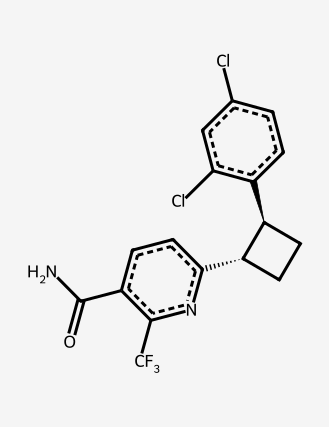 NC(=O)c1ccc([C@H]2CC[C@@H]2c2ccc(Cl)cc2Cl)nc1C(F)(F)F